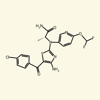 C[C@H](C(N)=O)N(c1ccc(OC(F)F)nc1)c1nc(N)c(C(=O)c2ccc(Cl)cc2)s1